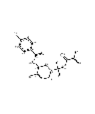 C=C(C)C(=O)OC(C)(C)C1CC=C(C)C(OC(=O)c2ccc(C)cc2)C1